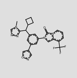 Cn1cnnc1C(c1cc(-c2cnoc2)cc(-n2cc3c(C(F)(F)F)cccn3c2=O)c1)C1CCC1